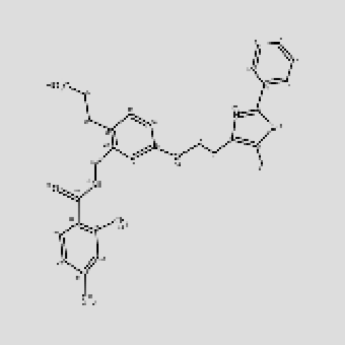 Cc1oc(-c2ccccc2)nc1CCOc1ccc(CCC(=O)O)c(CNC(=O)c2ccc(C(F)(F)F)cc2C(F)(F)F)c1